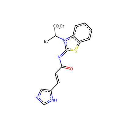 CCOC(=O)C(CC)n1c(=NC(=O)/C=C/c2cnc[nH]2)sc2ccccc21